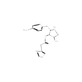 COc1ccc(CC2NCC(O)C2OC(=O)Cc2cscn2)cc1